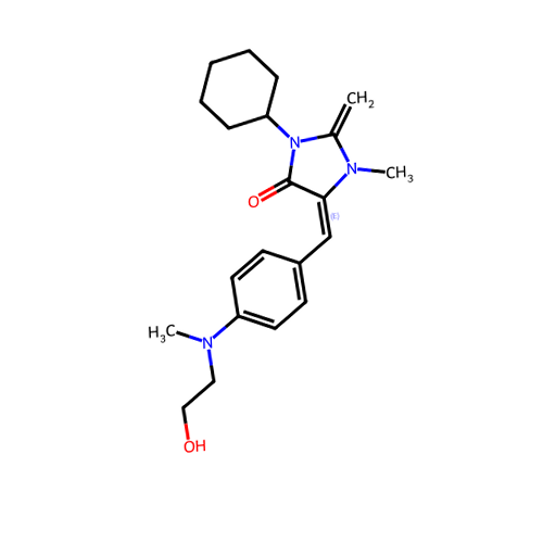 C=c1n(C2CCCCC2)c(=O)/c(=C\c2ccc(N(C)CCO)cc2)n1C